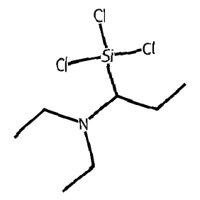 CCC(N(CC)CC)[Si](Cl)(Cl)Cl